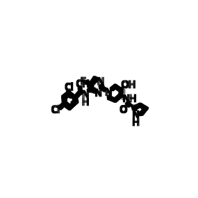 CC(Nc1nc(N2CC[C@H](NC(=O)[C@H]3CCCN3)[C@H](O)C2)ncc1F)c1ccc(Cl)cc1Cl